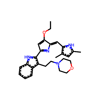 CCOC1=CC(c2[nH]c3ccccc3c2CCN2CCOCC2)=NC1=Cc1[nH]c(C)cc1C